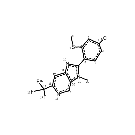 CSc1cc(Cl)ccc1-c1nc2cc(C(F)(F)F)ncc2n1C